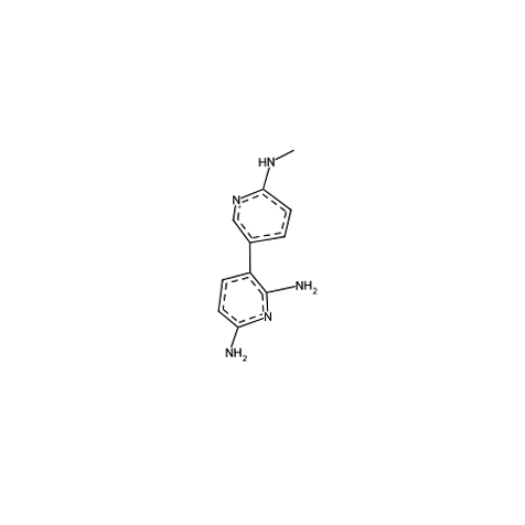 CNc1ccc(-c2ccc(N)nc2N)cn1